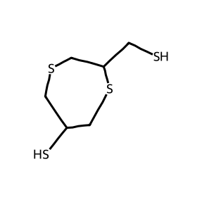 SCC1CSCC(S)CS1